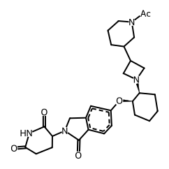 CC(=O)N1CCCC(C2CN([C@H]3CCCC[C@H]3Oc3ccc4c(c3)CN(C3CCC(=O)NC3=O)C4=O)C2)C1